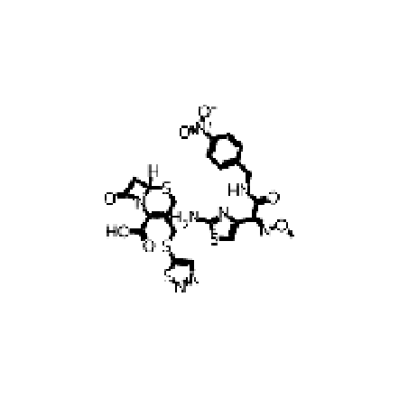 CO/N=C(\C(=O)NCc1ccc([N+](=O)[O-])cc1)c1csc(N)n1.O=C(O)C1=C(CSc2cnns2)CS[C@H]2CC(=O)N12